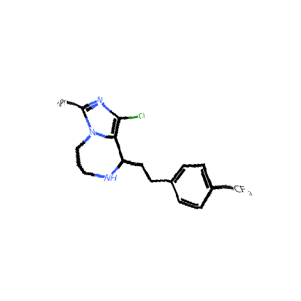 CCCc1nc(Cl)c2n1CCNC2CCc1ccc(C(F)(F)F)cc1